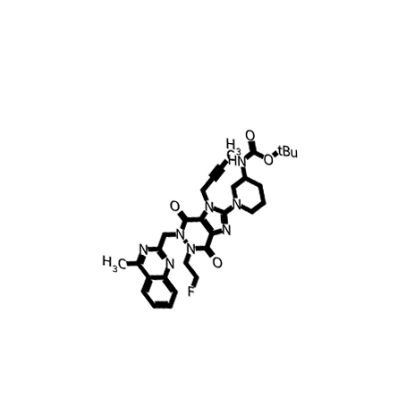 CC#CCn1c(N2CCCC(NC(=O)OC(C)(C)C)C2)nc2c(=O)n(CCF)n(Cc3nc(C)c4ccccc4n3)c(=O)c21